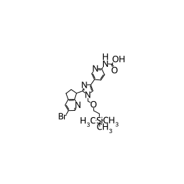 C[Si](C)(C)CCOCn1cc(-c2ccc(NC(=O)O)nc2)nc1C1CCc2cc(Br)cnc21